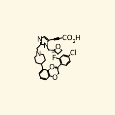 O=C(O)C#Cc1cnc(CN2CCC(c3cccc4c3O[C@@H](c3ccc(Cl)cc3F)CO4)CC2)n1C[C@@H]1CCO1